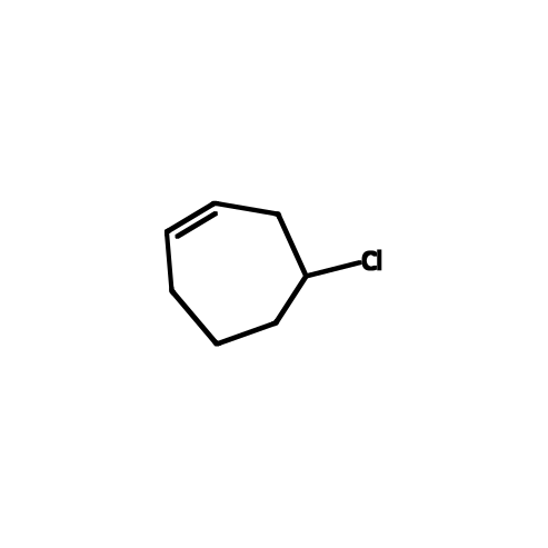 ClC1CC=CCCC1